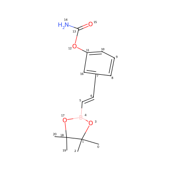 CC1(C)OB(C=Cc2cccc(OC(N)=O)c2)OC1(C)C